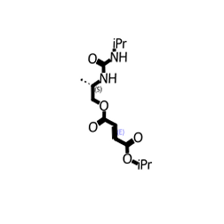 CC(C)NC(=O)N[C@@H](C)COC(=O)/C=C/C(=O)OC(C)C